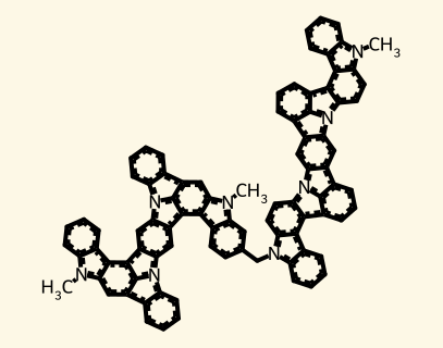 Cn1c2ccccc2c2c3c4cccc5c6cc7c(cc6n(c3ccc21)c54)c1cccc2c3c4c5ccccc5n(Cc5ccc6c8c9c%10cc%11c(cc%10n%10c%12ccccc%12c(cc8n(C)c6c5)c9%10)c5c6c8ccccc8n(C)c6cc6c8ccccc8n%11c65)c4ccc3n7c12